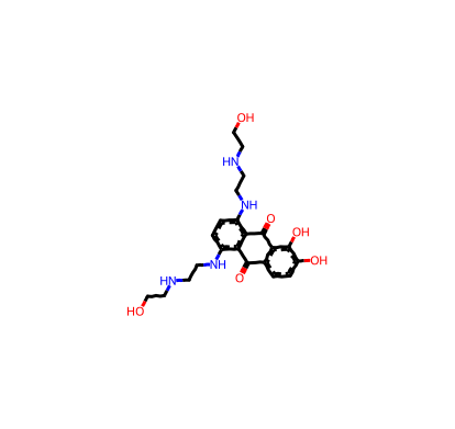 O=C1c2ccc(O)c(O)c2C(=O)c2c(NCCNCCO)ccc(NCCNCCO)c21